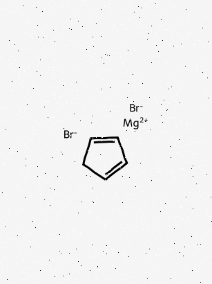 C1=CCC=C1.[Br-].[Br-].[Mg+2]